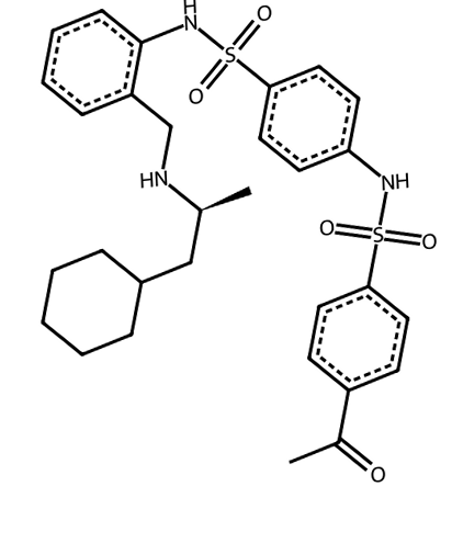 CC(=O)c1ccc(S(=O)(=O)Nc2ccc(S(=O)(=O)Nc3ccccc3CN[C@@H](C)CC3CCCCC3)cc2)cc1